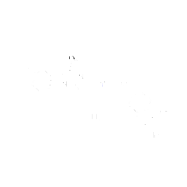 CCCc1cc(C(O)(C(F)F)C(F)(F)F)cc(CCC)c1OC/C=C/CN1C(=O)NC(CC)(c2ccc3c(c2)OCCO3)C1=O